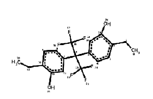 CCc1ccc(C(c2ccc(CC)c(O)c2)(C(F)(F)F)C(F)(F)F)cc1O